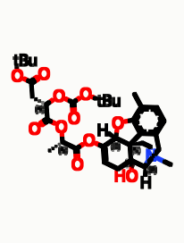 Cc1ccc2c3c1O[C@H]1C(OC(=O)[C@H](C)OC(=O)[C@H](CC(=O)OC(C)(C)C)OC(=O)OC(C)(C)C)=CC[C@@]4(O)[C@@H](C2)N(C)CC[C@]314